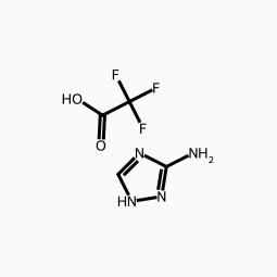 Nc1nc[nH]n1.O=C(O)C(F)(F)F